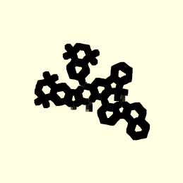 CC1(C)CCC(C)(C)c2cc(N3c4cc5c(c(-c6cccc7c6[nH]c6ccc8ccccc8c67)c4Bc4sc6cc7c(cc6c43)C(C)(C)CCC7(C)C)C(C)(C)c3ccccc3-5)ccc21